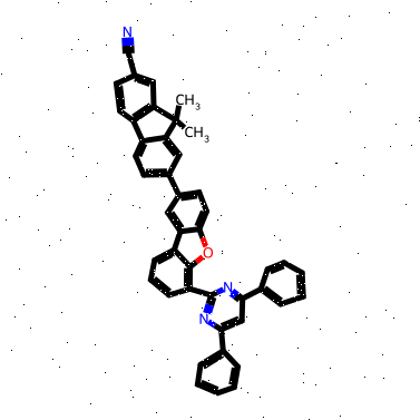 CC1(C)c2cc(C#N)ccc2-c2ccc(-c3ccc4oc5c(-c6nc(-c7ccccc7)cc(-c7ccccc7)n6)cccc5c4c3)cc21